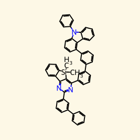 C[Si]1(C)c2ccccc2-c2nc(-c3cccc(-c4ccccc4)c3)nc(-c3cccc(-c4cccc(-c5cccc6c5c5ccccc5n6-c5ccccc5)c4)c3)c21